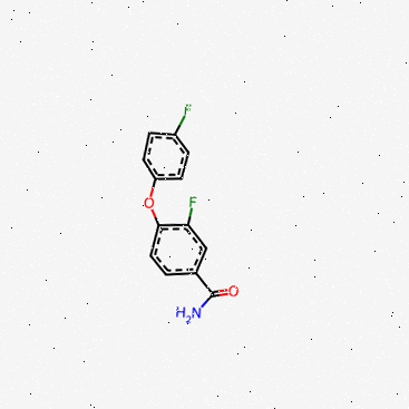 NC(=O)c1ccc(Oc2ccc(F)cc2)c(F)c1